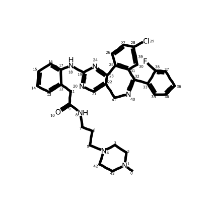 CN1CCN(CCCNC(=O)Cc2ccccc2Nc2ncc3c(n2)-c2ccc(Cl)cc2C(c2ccccc2F)=NC3)CC1